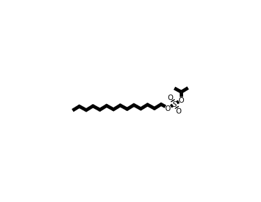 CCCCCCCCCCCCCCOS(=O)(=O)OC(C)C